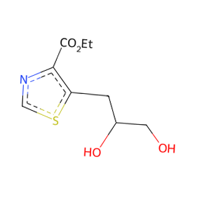 CCOC(=O)c1ncsc1CC(O)CO